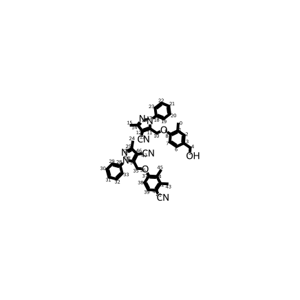 Cc1cc(CO)ccc1OCc1c(C#N)c(C)nn1-c1ccccc1.Cc1nn(-c2ccccc2)c(COc2ccc(C#N)c(C)c2C)c1C#N